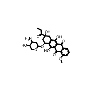 CCC(=O)[C@]1(O)Cc2c(O)c3c(c(O)c2[C@@H](OC2CC(N)C(O)CO2)C1)C(=O)c1c(OC)cccc1C3=O